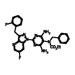 CCOC(=O)N(Cc1ccccc1)c1c(N)nc(-n2nc(Cc3ccccc3F)c3ncc(F)cc32)nc1N